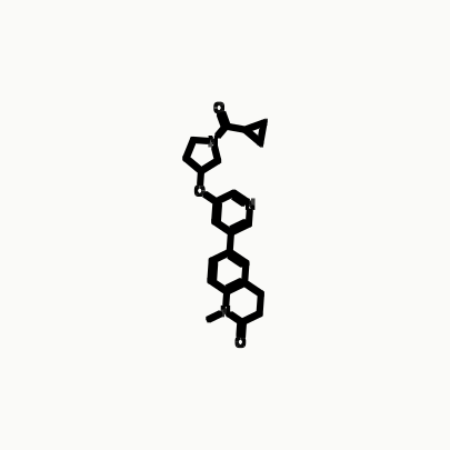 CN1C(=O)CCc2cc(-c3cncc(OC4CCN(C(=O)C5CC5)C4)c3)ccc21